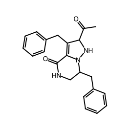 CC(=O)C1NN2C(=C1Cc1ccccc1)C(=O)NCC2Cc1ccccc1